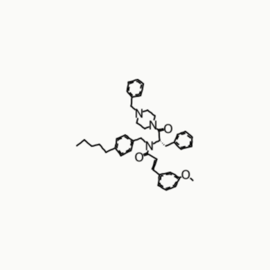 CCCCCc1ccc(CN(C(=O)C=Cc2cccc(OC)c2)[C@@H](Cc2ccccc2)C(=O)N2CCN(Cc3ccccc3)CC2)cc1